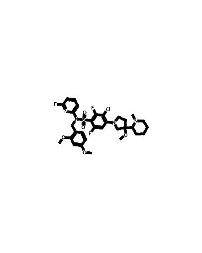 COc1ccc(CN(c2cccc(F)n2)S(=O)(=O)c2c(F)cc(N3CCC(OC)(C4CCCCN4C)C3)c(Cl)c2F)c(OC)c1